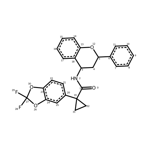 O=C(NC1CC(c2ccccc2)Oc2ccccc21)C1(c2ccc3c(c2)OC(F)(F)O3)CC1